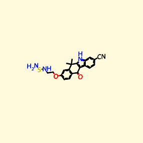 CC1(C)c2cc(OCCNSN)ccc2C(=O)c2c1[nH]c1cc(C#N)ccc21